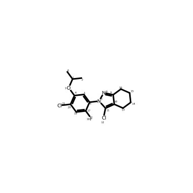 CC(C)Oc1cc(-n2nc3c(c2Cl)CCCC3)c(F)cc1Cl